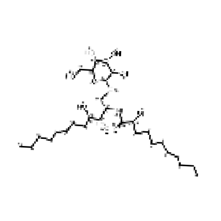 CCCCCCCCC[C@@H](O)C(=O)N[C@@H](CO[C@H]1OC(CO)[C@H](O)[C@H](O)C1O)[C@H](O)[C@H](O)CCCCCCCC